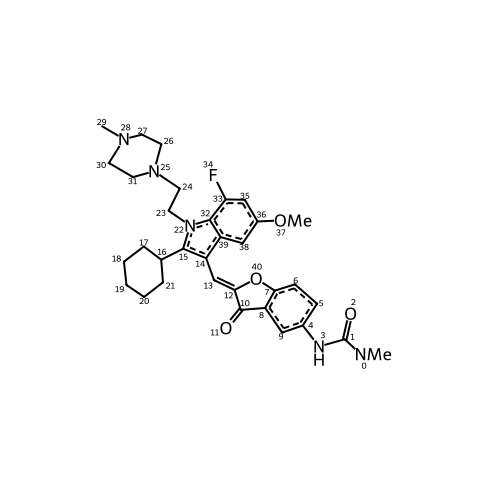 CNC(=O)Nc1ccc2c(c1)C(=O)C(=Cc1c(C3CCCCC3)n(CCN3CCN(C)CC3)c3c(F)cc(OC)cc13)O2